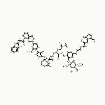 CCCC1(OCCN(CCC(=O)N(C)C)C(=O)OCc2ccc(CCCCNC(=O)CN3C(=O)C=CC3=O)cc2O[C@@H]2O[C@H](C(=O)O)[C@@H](O)[C@H](O)[C@H]2O)CC2(C)CCCC(Cn3ncc(-c4ccc(N5CCc6cccc(C(=O)Nc7nc8ccccc8s7)c6C5)nc4C(=O)O)c3C)(C2)C1